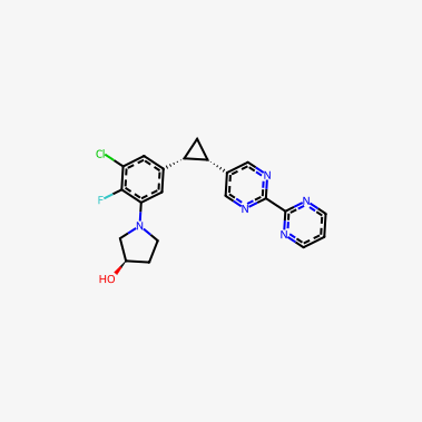 O[C@@H]1CCN(c2cc([C@@H]3C[C@@H]3c3cnc(-c4ncccn4)nc3)cc(Cl)c2F)C1